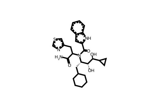 NC(=O)C(Cc1cscn1)N(C(=O)c1cc2ccccc2[nH]1)[C@@H](CC1CCCCC1)[C@@H](O)[C@@H](O)C1CC1